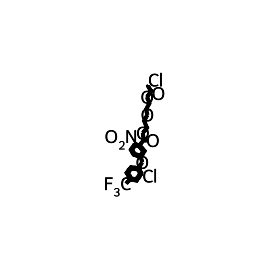 O=C(CCl)OCCOCCOC(=O)c1cc(Oc2ccc(C(F)(F)F)cc2Cl)ccc1[N+](=O)[O-]